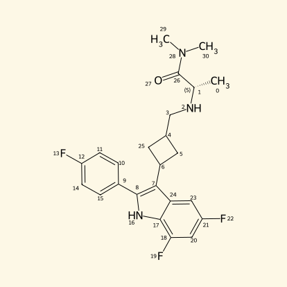 C[C@H](NCC1CC(c2c(-c3ccc(F)cc3)[nH]c3c(F)cc(F)cc23)C1)C(=O)N(C)C